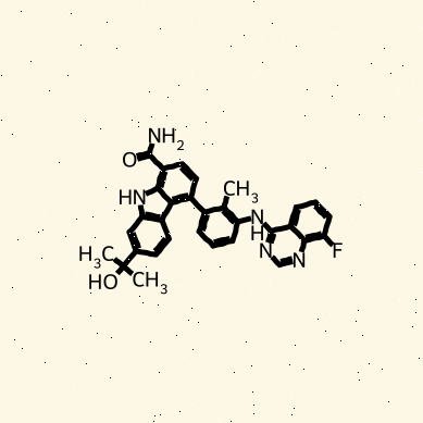 Cc1c(Nc2ncnc3c(F)cccc23)cccc1-c1ccc(C(N)=O)c2[nH]c3cc(C(C)(C)O)ccc3c12